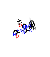 COc1ncccc1CNc1ncc(C#N)c(NC[C@]23CC4C[C@H](C2)[C@@H](NC[C@H]2CC[C@@H](O[Si](C)(C)C(C)(C)C)CC2)[C@@H](C4)C3)n1